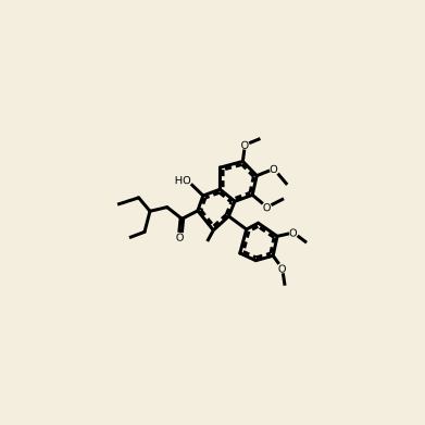 CCC(CC)CC(=O)c1c(C)c(-c2ccc(OC)c(OC)c2)c2c(OC)c(OC)c(OC)cc2c1O